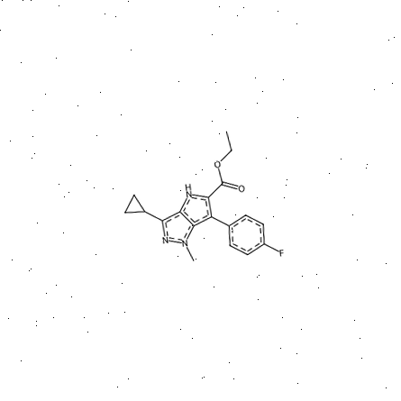 CCOC(=O)c1[nH]c2c(C3CC3)nn(C)c2c1-c1ccc(F)cc1